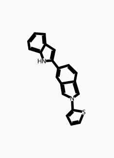 c1csc(-n2cc3ccc(-c4cc5ccccc5[nH]4)cc3c2)c1